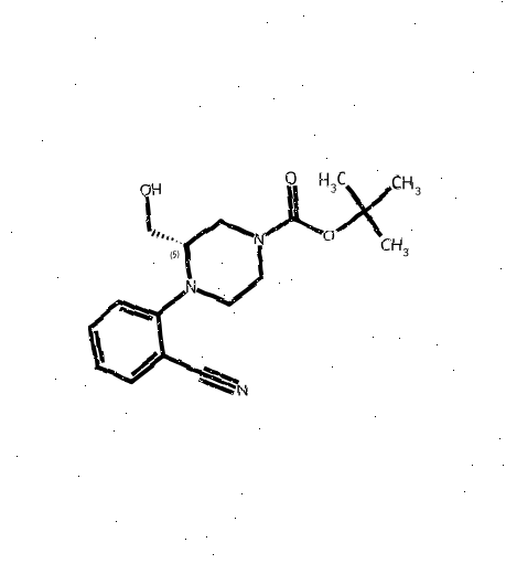 CC(C)(C)OC(=O)N1CCN(c2ccccc2C#N)[C@H](CO)C1